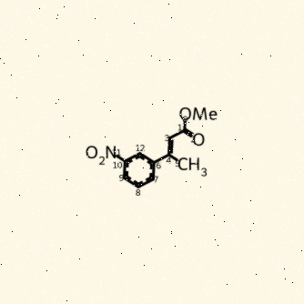 COC(=O)C=C(C)c1cccc([N+](=O)[O-])c1